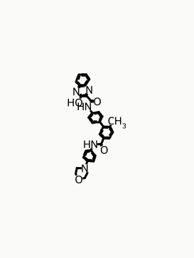 Cc1ccc(C(=O)Nc2ccc(N3CCOCC3)cc2)cc1-c1ccc(NC(=O)c2nc3ccccc3nc2O)cc1